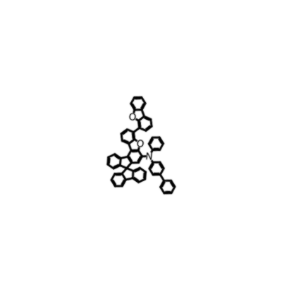 c1ccc(-c2ccc(N(c3ccccc3)c3cc4c(c5c3oc3c(-c6cccc7c6oc6ccccc67)cccc35)-c3ccccc3C43c4ccccc4-c4ccccc43)cc2)cc1